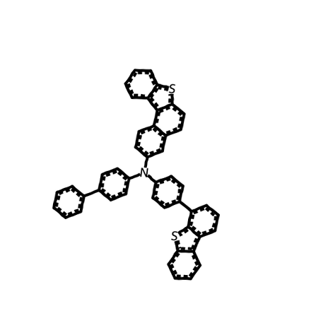 c1ccc(-c2ccc(N(c3ccc(-c4cccc5c4sc4ccccc45)cc3)c3ccc4c(ccc5sc6ccccc6c54)c3)cc2)cc1